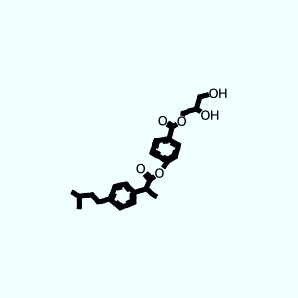 CC(C)CCc1ccc(C(C)C(=O)Oc2ccc(C(=O)OCC(O)CO)cc2)cc1